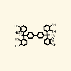 CC(c1ccc(-c2ccc(C(C)(c3cccc(S)c3S)c3cccc(S)c3S)cc2)cc1)(c1cccc(S)c1S)c1cccc(S)c1S